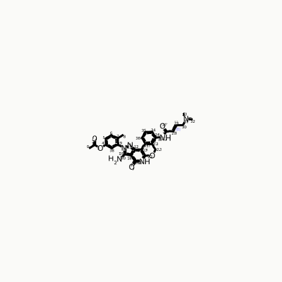 CC(=O)Oc1ccc(C)c(-n2nc3c4c([nH]c(=O)c3c2N)OCc2c(NC(=O)/C=C/CN(C)C)cccc2-4)c1